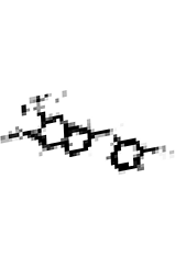 CSC1=Nc2ccc(Oc3cccc(C(F)(F)F)c3)cc2CC1NC(=O)O